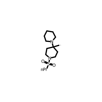 [CH2]C1(N2CCCCC2)CCN(S(=O)(=O)CCC)CC1